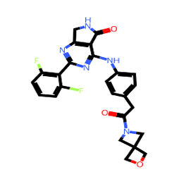 O=C1NCc2nc(-c3c(F)cccc3F)nc(Nc3ccc(CC(=O)N4CC5(COC5)C4)cc3)c21